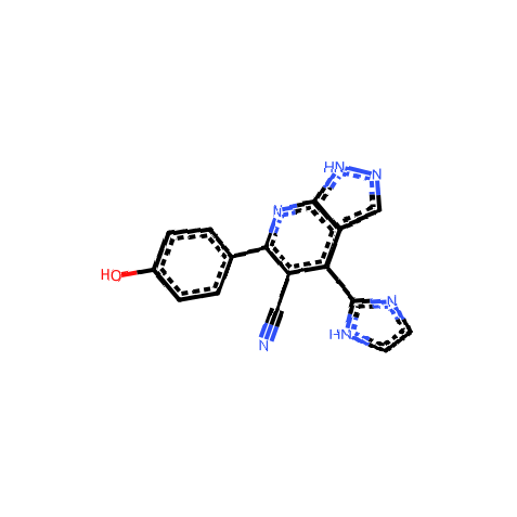 N#Cc1c(-c2ccc(O)cc2)nc2[nH]ncc2c1-c1ncc[nH]1